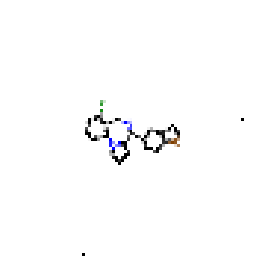 Fc1cccc2c1CN=C(c1ccc3sccc3c1)c1cccn1-2